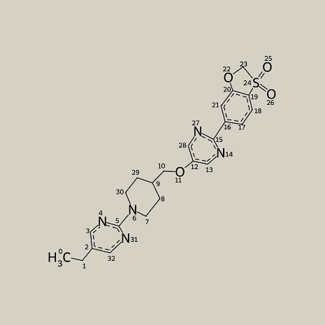 CCc1cnc(N2CCC(COc3cnc(-c4ccc5c(c4)OCS5(=O)=O)nc3)CC2)nc1